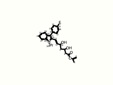 C=C(C)OC(=O)CC(O)CC(O)/C=C/c1c(-c2ccc(F)cc2)c2ccccc2n1C(C)C